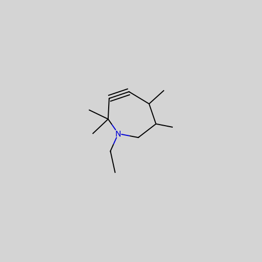 CCN1CC(C)C(C)C#CC1(C)C